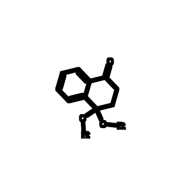 CCOC1(OCC)CCC(=O)c2ccccc21